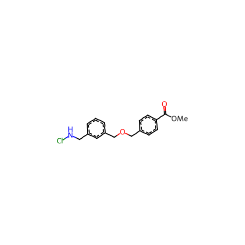 COC(=O)c1ccc(COCc2cccc(CNCl)c2)cc1